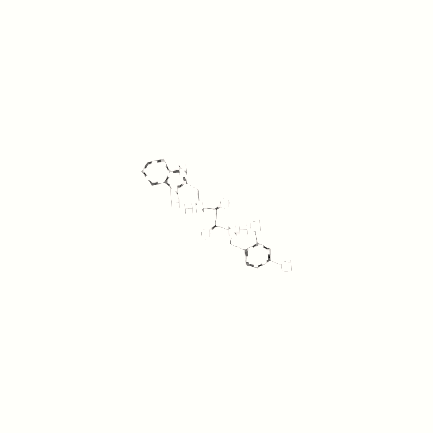 O=C(NCc1nc2ccccc2[nH]1)C(=O)NCc1ccc(Cl)cc1Cl